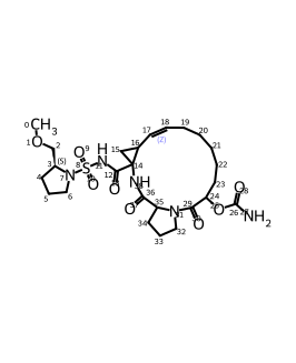 COC[C@@H]1CCCN1S(=O)(=O)NC(=O)C12CC1/C=C\CCCCCC(OC(N)=O)C(=O)N1CCCC1C(=O)N2